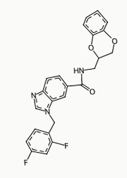 O=C(NCC1COc2ccccc2O1)c1ccc2ncn(Cc3ccc(F)cc3F)c2c1